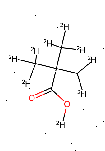 [2H]OC(=O)C(C([2H])[2H])(C([2H])([2H])[2H])C([2H])([2H])[2H]